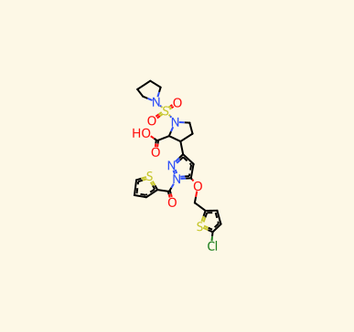 O=C(O)C1C(c2cc(OCc3ccc(Cl)s3)n(C(=O)c3cccs3)n2)CCN1S(=O)(=O)N1CCCC1